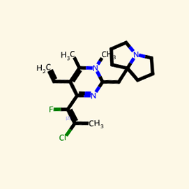 C=CC1=C(C)N(C)C(CC23CCCN2CCC3)N=C1/C(F)=C(\C)Cl